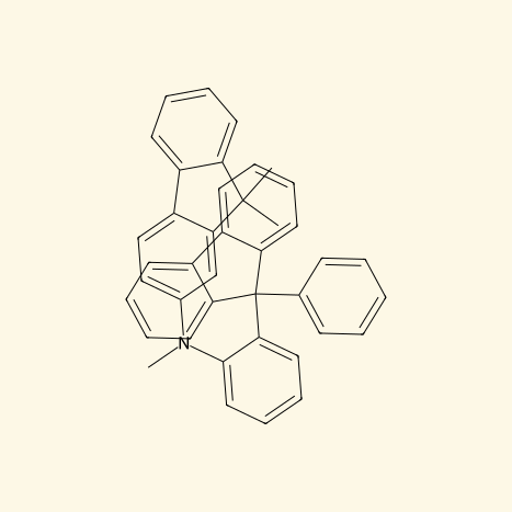 CN(c1ccc2c(c1)C(C)(C)c1ccccc1-2)c1ccccc1C1(c2ccccc2)c2ccccc2-c2ccccc21